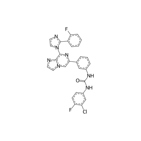 O=C(Nc1cccc(-c2cn3ccnc3c(-n3ccnc3-c3ccccc3F)n2)c1)Nc1ccc(F)c(Cl)c1